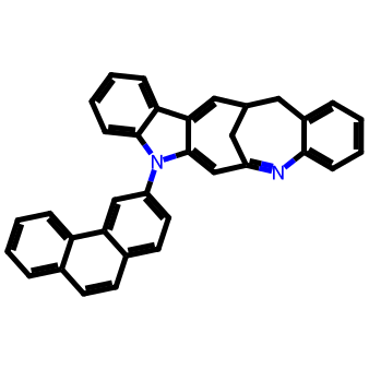 C1=c2c(n(-c3ccc4ccc5ccccc5c4c3)c3ccccc23)=CC2=Nc3ccccc3CC1C2